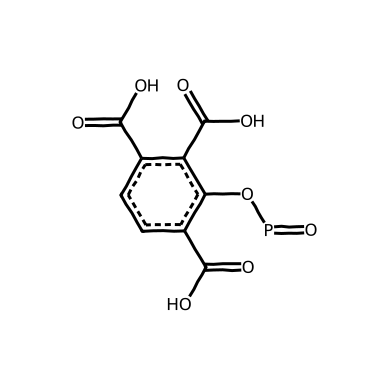 O=POc1c(C(=O)O)ccc(C(=O)O)c1C(=O)O